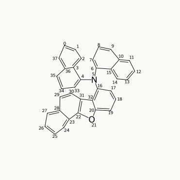 c1ccc2c(N(c3cccc4ccccc34)c3cccc4oc5c6ccccc6ccc5c34)cccc2c1